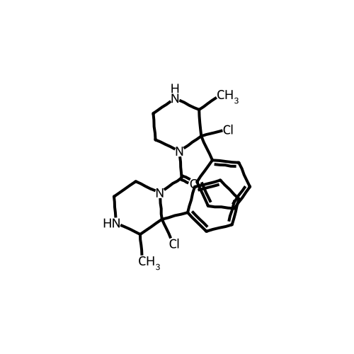 CC1NCCN(C(=O)N2CCNC(C)C2(Cl)c2ccccc2)C1(Cl)c1ccccc1